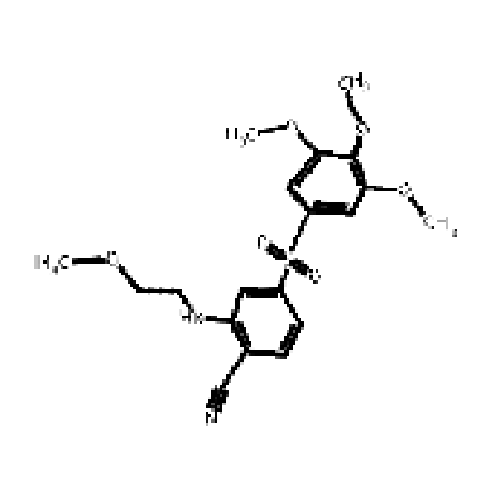 COCCNc1cc(S(=O)(=O)c2cc(OC)c(OC)c(OC)c2)ccc1C#N